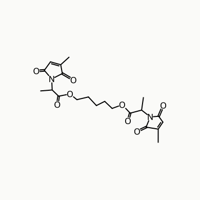 CC1=CC(=O)N(C(C)C(=O)OCCCCCOC(=O)C(C)N2C(=O)C=C(C)C2=O)C1=O